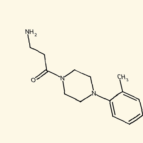 Cc1ccccc1N1CCN(C(=O)CCN)CC1